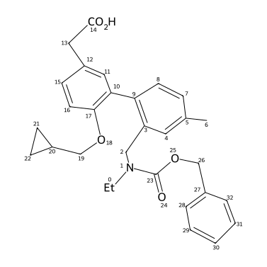 CCN(Cc1cc(C)ccc1-c1cc(CC(=O)O)ccc1OCC1CC1)C(=O)OCc1ccccc1